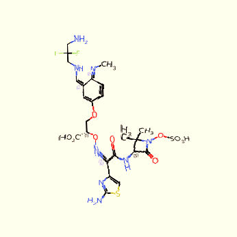 C/N=C1\C=CC(OC[C@H](O/N=C(\C(=O)N[C@@H]2C(=O)N(OS(=O)(=O)O)C2(C)C)c2csc(N)n2)C(=O)O)=C\C1=C\NCC(F)(F)CN